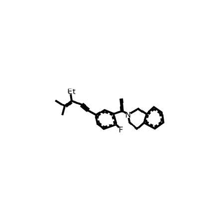 C=C(c1cc(C#CC(CC)=C(C)C)ccc1F)N1CCc2ccccc2C1